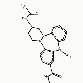 CCCNC(=O)c1ccc2c(c1)N(C)c1ccccc1C1CC(NC(=O)C(F)(F)F)CCN21